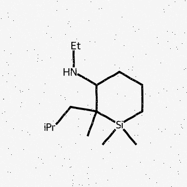 CCNC1CCC[Si](C)(C)C1(C)CC(C)C